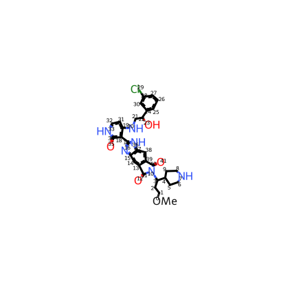 COCCC(C1CCNCC1)N1C(=O)c2cc3nc(-c4c(NCC(O)c5cccc(Cl)c5)cc[nH]c4=O)[nH]c3cc2C1=O